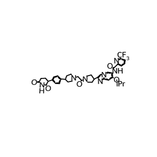 CC(C)Oc1cc2nc(C3CCN(C(=O)CN4CCC(c5ccc(C6CCC(=O)NC6=O)cc5)CC4)CC3)cn2cc1NC(=O)c1cccc(C(F)(F)F)n1